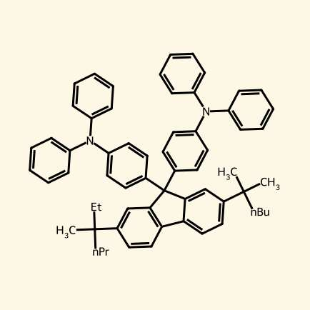 CCCCC(C)(C)c1ccc2c(c1)C(c1ccc(N(c3ccccc3)c3ccccc3)cc1)(c1ccc(N(c3ccccc3)c3ccccc3)cc1)c1cc(C(C)(CC)CCC)ccc1-2